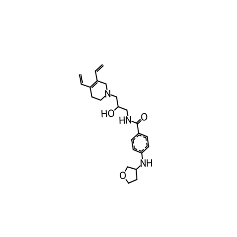 C=CC1=C(C=C)CN(CC(O)CNC(=O)c2ccc(NC3CCOC3)cc2)CC1